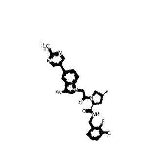 CC(=O)c1cn(CC(=O)N2C[C@H](F)C[C@H]2C(=O)NCc2cccc(Cl)c2F)c2ccc(-c3cnc(C)nc3)cc12